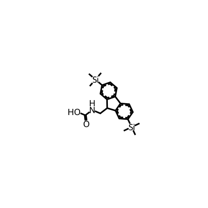 C[Si](C)(C)c1ccc2c(c1)C(CNC(=O)O)c1cc([Si](C)(C)C)ccc1-2